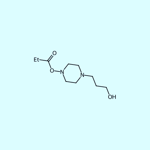 CCC(=O)ON1CCN(CCCO)CC1